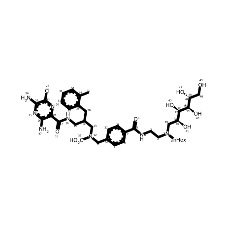 CCCCCCN(CCNC(=O)c1ccc(CN(CC(CNC(=O)c2nc(Cl)c(N)nc2N)Cc2ccccc2C)C(=O)O)cc1)C[C@H](O)[C@@H](O)[C@H](O)[C@H](O)CO